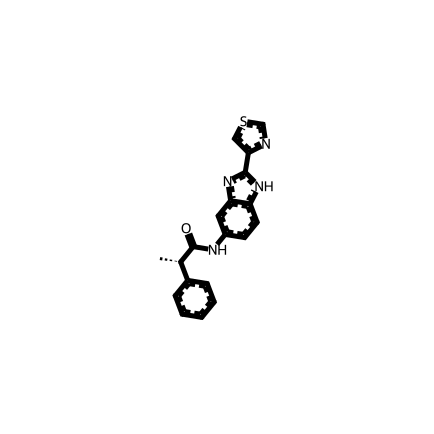 C[C@H](C(=O)Nc1ccc2[nH]c(-c3cscn3)nc2c1)c1ccccc1